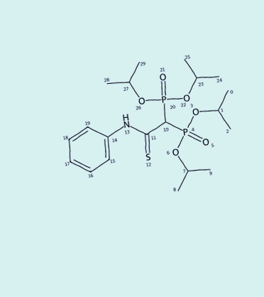 CC(C)OP(=O)(OC(C)C)C(C(=S)Nc1ccccc1)P(=O)(OC(C)C)OC(C)C